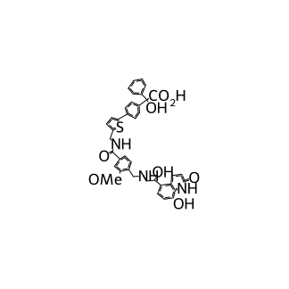 COc1cc(C(=O)NCc2ccc(-c3ccc(C(O)(C(=O)O)c4ccccc4)cc3)s2)ccc1CNCC(O)c1ccc(O)c2[nH]c(=O)ccc12